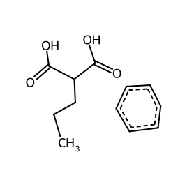 CCCC(C(=O)O)C(=O)O.c1ccccc1